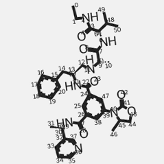 CCNC(=O)[C@@H](NC(=O)[C@H](C)NC[C@H](Cc1ccccc1)NC(=O)c1cc(C(=O)N[C@H](C)c2cccnc2)cc(N2C(=O)OCC2C)c1)C(C)C